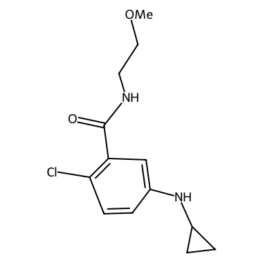 COCCNC(=O)c1cc(NC2CC2)ccc1Cl